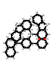 c1ccc(-c2ccc(-c3cccc4ccccc34)cc2N(c2cccc3sc4ccccc4c23)c2cccc3sc4ccccc4c23)cc1